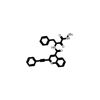 CCCCNC(=O)C(=O)C(Cc1ccccc1)NC(=O)c1cc(C#Cc2ccccc2)nc2ccccc12